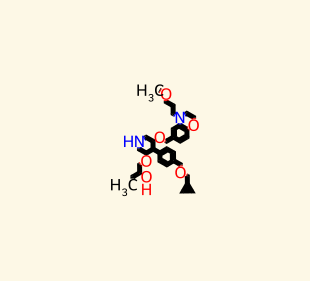 CC[C@@H](O)CO[C@@H]1CNC[C@H](OCc2ccc3c(c2)N(CCCOC)CCO3)C1c1ccc(COCC2CC2)cc1